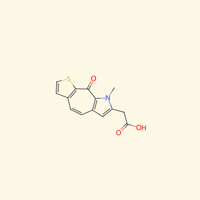 Cn1c(CC(=O)O)cc2ccc3ccsc3c(=O)c21